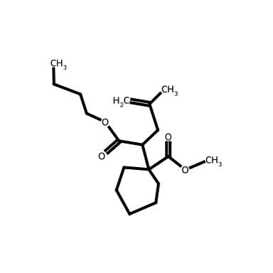 C=C(C)CC(C(=O)OCCCC)C1(C(=O)OC)CCCCC1